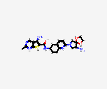 Cc1ncc2c(N)c(C(=O)NC3CCc4nc(N5CC(N)C6(C5)OCCO6)ccc4C3)sc2n1